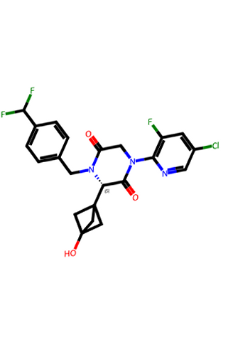 O=C1[C@H](C23CC(O)(C2)C3)N(Cc2ccc(C(F)F)cc2)C(=O)CN1c1ncc(Cl)cc1F